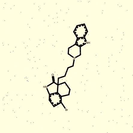 O=C1Nc2ccc(Br)c3c2C1(CCCCN1CCc2c([nH]c4ccccc24)C1)CCC3